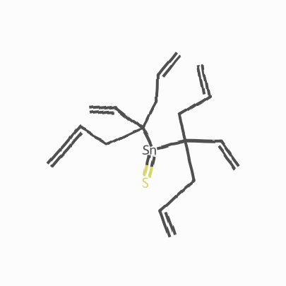 C=CC[C](C=C)(CC=C)[Sn](=[S])[C](C=C)(CC=C)CC=C